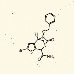 NC(=O)C1c2sc(Br)cc2[C@H]2CN1C(=O)N2OCc1ccccc1